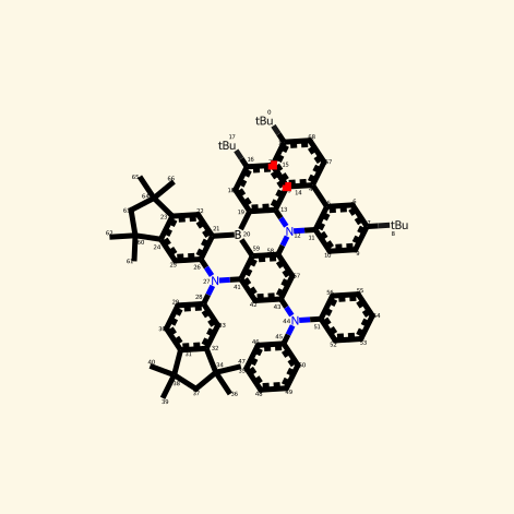 CC(C)(C)c1ccc(-c2cc(C(C)(C)C)ccc2N2c3ccc(C(C)(C)C)cc3B3c4cc5c(cc4N(c4ccc6c(c4)C(C)(C)CC6(C)C)c4cc(N(c6ccccc6)c6ccccc6)cc2c43)C(C)(C)CC5(C)C)cc1